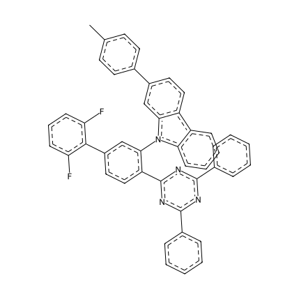 Cc1ccc(-c2ccc3c4ccccc4n(-c4cc(-c5c(F)cccc5F)ccc4-c4nc(-c5ccccc5)nc(-c5ccccc5)n4)c3c2)cc1